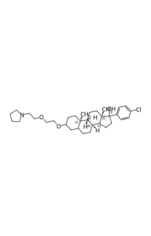 C[C@]12CCC(OCCOCCN3CCCC3)CC1CC[C@@H]1[C@H]2CC[C@@]2(C)[C@H]1CCC2(O)c1ccc(Cl)cc1